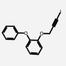 IC#CCOc1ccccc1Oc1ccccc1